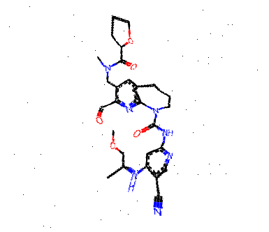 COCC(C)Nc1cc(NC(=O)N2CCCc3cc(CN(C)C(=O)C4CCCO4)c(C=O)nc32)ncc1C#N